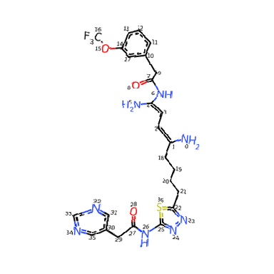 N/C(=C\C=C(/N)NC(=O)Cc1cccc(OC(F)(F)F)c1)CCCCc1nnc(NC(=O)Cc2cncnc2)s1